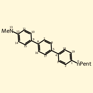 CCCCCc1ccc(-c2ccc(-c3ccc(NC)cc3)cc2)cc1